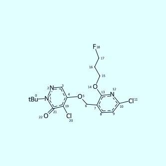 CC(C)(C)n1ncc(OCc2ccc(Cl)nc2OCCCF)c(Cl)c1=O